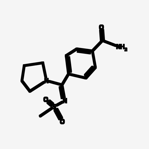 CS(=O)(=O)N=C(c1ccc(C(N)=O)cc1)N1CCCC1